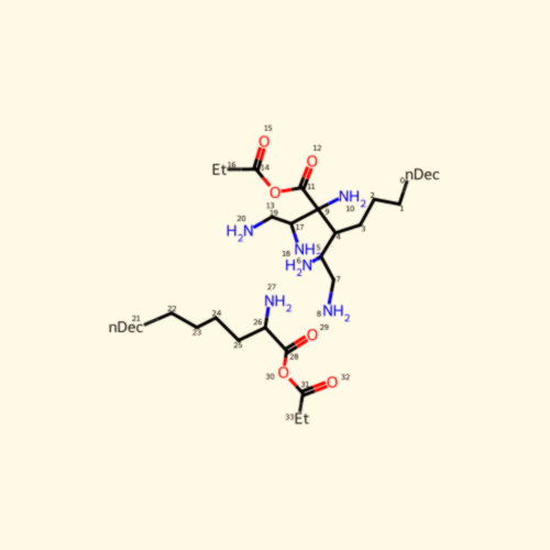 CCCCCCCCCCCCCC(C(N)CN)C(N)(C(=O)OC(=O)CC)C(N)CN.CCCCCCCCCCCCCCC(N)C(=O)OC(=O)CC